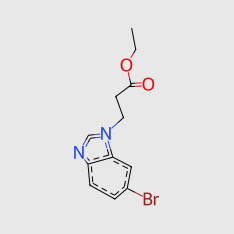 CCOC(=O)CCn1cnc2ccc(Br)cc21